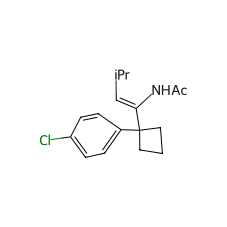 CC(=O)NC(=CC(C)C)C1(c2ccc(Cl)cc2)CCC1